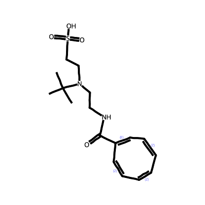 CC(C)(C)N(CCNC(=O)C1=C/C=C\C=C/C=C\1)CCS(=O)(=O)O